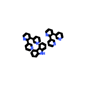 c1ccc2c(c1)[nH]c1ccccc12.c1cncc(-c2cccnc2-c2cccnc2)c1.c1cncc(-c2cccnc2-c2cccnc2)c1